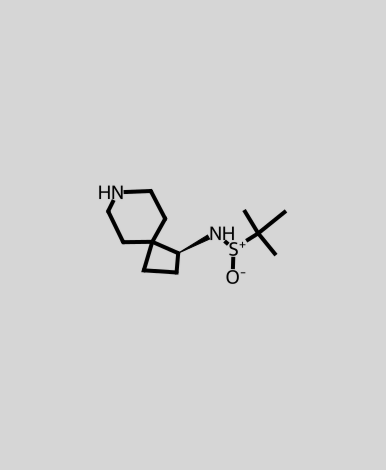 CC(C)(C)[S+]([O-])N[C@H]1CCC12CCNCC2